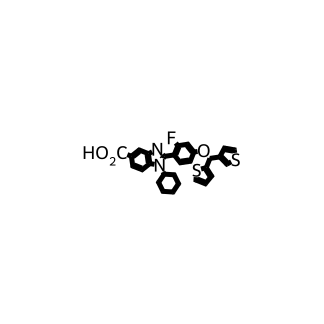 O=C(O)c1ccc2c(c1)nc(-c1ccc(OC(c3ccsc3)c3cccs3)cc1F)n2C1CCCCC1